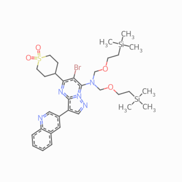 C[Si](C)(C)CCOCN(COCC[Si](C)(C)C)c1c(Br)c(C2CCS(=O)(=O)CC2)nc2c(-c3cnc4ccccc4c3)cnn12